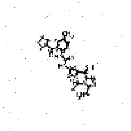 Cc1ccc(NC(=O)Nc2nc(C(S)c3nnc(CN)n3C3CC3)cs2)c(C(=O)C2CCCC2)c1